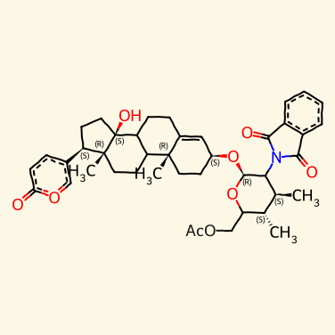 CC(=O)OCC1O[C@@H](O[C@@H]2C=C3CCC4C(CC[C@]5(C)[C@@H](c6ccc(=O)oc6)CC[C@]45O)[C@@]3(C)CC2)C(N2C(=O)c3ccccc3C2=O)[C@@H](C)[C@@H]1C